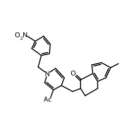 CC(=O)C1=CN(Cc2cccc([N+](=O)[O-])c2)C=CC1CC1CCc2cc(C)ccc2C1=O